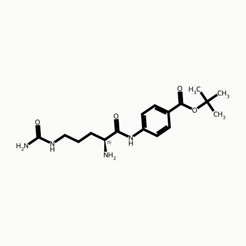 CC(C)(C)OC(=O)c1ccc(NC(=O)[C@@H](N)CCCNC(N)=O)cc1